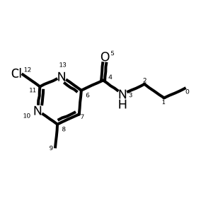 CCCNC(=O)c1cc(C)nc(Cl)n1